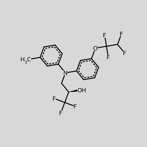 Cc1cccc(N(C[C@@H](O)C(F)(F)F)c2cccc(OC(F)(F)C(F)F)c2)c1